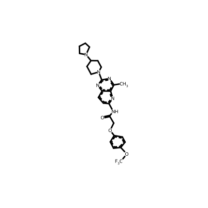 Cc1nc(N2CCC(N3CCCC3)CC2)nc2ccc(NC(=O)COc3ccc(OC(F)(F)F)cc3)nc12